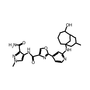 CC1CC2CC(Nc3cc(-c4nc(C(=O)Nc5cn(C)nc5C(N)=O)co4)ccn3)(CCCC2O)C1